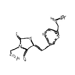 CC(C)Nc1nc(/C=C2\SC(=S)N(CC(=O)O)C2=O)cs1